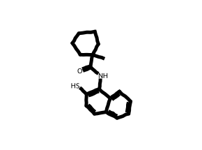 CC1(C(=O)Nc2c(S)ccc3ccccc23)CCCCC1